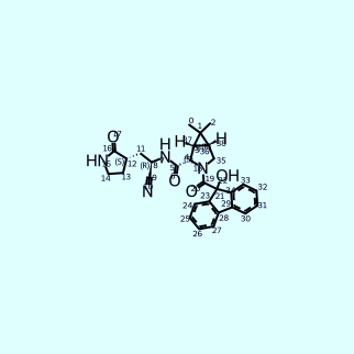 CC1(C)[C@H]2[C@@H](C(=O)N[C@@H](C#N)C[C@@H]3CCNC3=O)N(C(=O)C3(O)c4ccccc4-c4ccccc43)C[C@H]21